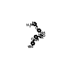 Cc1c(NC(=O)c2ccc(C(C)(C)C)cc2)cccc1-c1cn(C)c(=O)c(Nc2ccc(OCc3ccnc(N)c3)cc2)n1